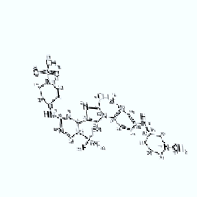 Cc1nc(-c2nc(NC3CCN(S(C)(=O)=O)CC3)ncc2C(F)(F)F)cn1-c1ccc(N[C@@H]2CCCN(C)C2)cc1F